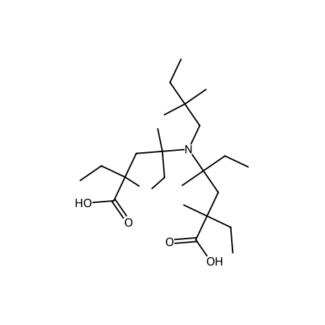 CCC(C)(C)CN(C(C)(CC)CC(C)(CC)C(=O)O)C(C)(CC)CC(C)(CC)C(=O)O